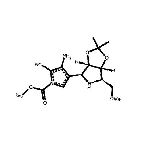 COC[C@H]1N[C@@H](c2cn(C(=O)OC(C)(C)C)c(C#N)c2N)[C@@H]2OC(C)(C)O[C@@H]21